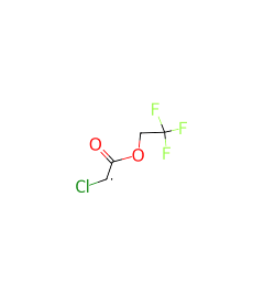 O=C([CH]Cl)OCC(F)(F)F